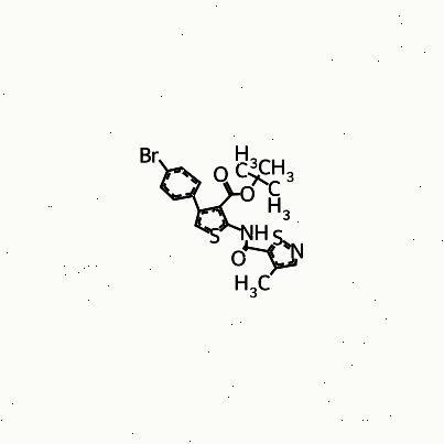 Cc1cnsc1C(=O)Nc1scc(-c2ccc(Br)cc2)c1C(=O)OC(C)(C)C